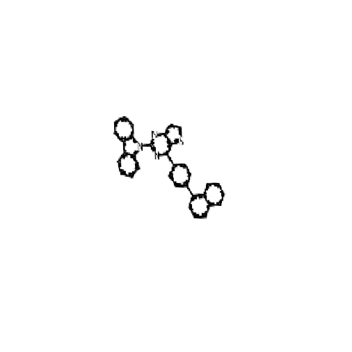 c1ccc2c(-c3ccc(-c4nc(-n5c6ccccc6c6ccccc65)nc5ccsc45)cc3)cccc2c1